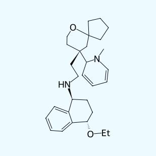 CCO[C@H]1CC[C@H](NCC[C@@]2(C3C=CC=CN3C)CCOC3(CCCC3)C2)c2ccccc21